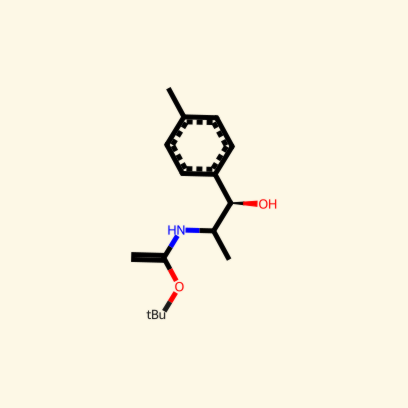 C=C(NC(C)[C@H](O)c1ccc(C)cc1)OC(C)(C)C